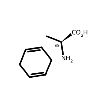 C1=CCC=CC1.C[C@H](N)C(=O)O